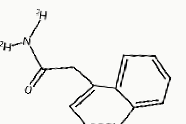 [2H]N([2H])C(=O)Cc1cccc2ccccc12